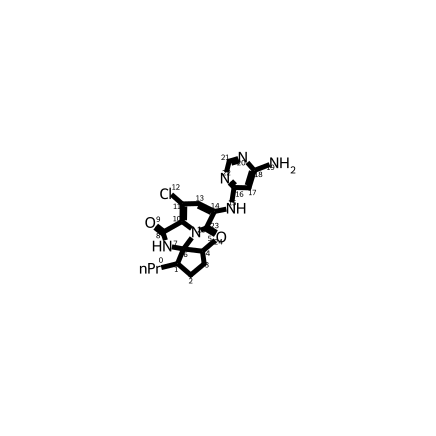 CCCC1CCC(C)C12NC(=O)c1c(Cl)cc(Nc3cc(N)ncn3)c(=O)n12